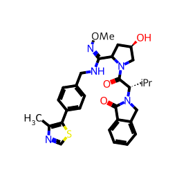 CO/N=C(/NCc1ccc(-c2scnc2C)cc1)C1C[C@@H](O)CN1C(=O)[C@H](C(C)C)N1Cc2ccccc2C1=O